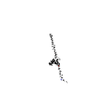 CCCC/C=C\CCCCCCCCCCCC(=O)O[C@H](COC(=O)CCCCCCCCCCCCCCCCCCCCC)COP(=O)(O)OCC[N+](C)(C)C